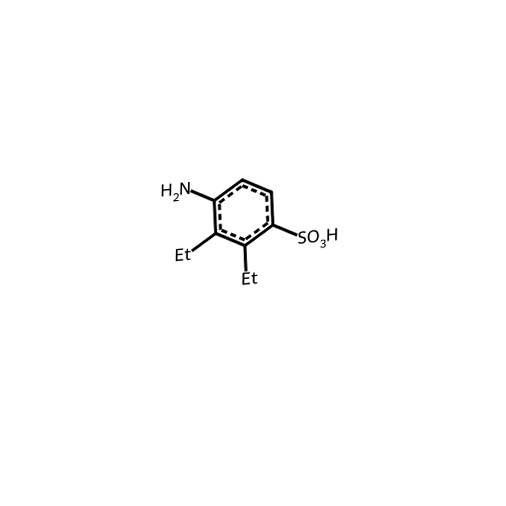 CCc1c(N)ccc(S(=O)(=O)O)c1CC